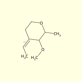 C/C=C1/CCOC(C)C1OC